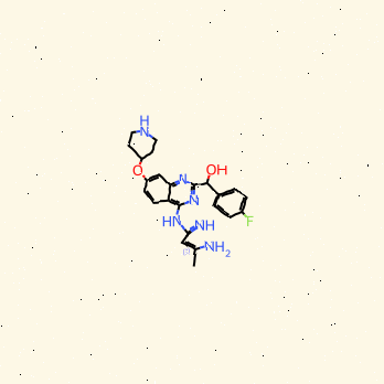 C/C(N)=C/C(=N)Nc1nc(C(O)c2ccc(F)cc2)nc2cc(OC3CCNCC3)ccc12